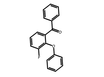 O=C(c1ccccc1)c1cccc(F)c1Oc1ccccc1